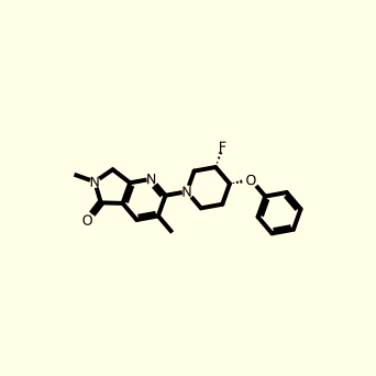 Cc1cc2c(nc1N1CC[C@@H](Oc3ccccc3)[C@@H](F)C1)CN(C)C2=O